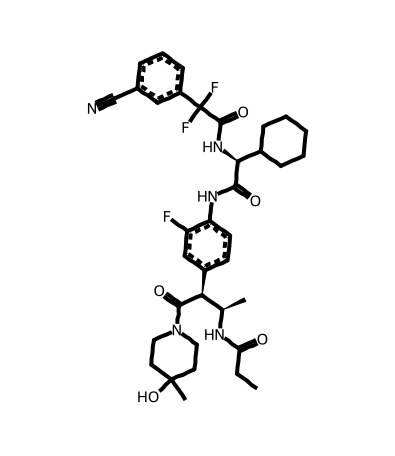 CCC(=O)N[C@H](C)[C@@H](C(=O)N1CCC(C)(O)CC1)c1ccc(NC(=O)[C@@H](NC(=O)C(F)(F)c2cccc(C#N)c2)C2CCCCC2)c(F)c1